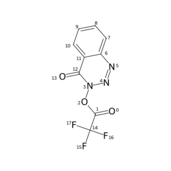 O=C(On1nnc2ccccc2c1=O)C(F)(F)F